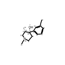 Cc1cccc([C@@]2(O)CCN(C)C[C@@H]2C)c1